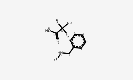 FNCc1ccccc1.O=C(O)C(F)(F)F